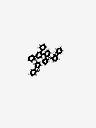 c1ccc(-c2cc3c4ccccc4n(-c4ccc5oc6ccccc6c5c4)c3cc2-c2cccc3c2c2ccccc2n3-c2cccc3c2oc2ccccc23)cc1